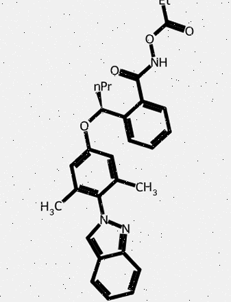 CCC[C@H](Oc1cc(C)c(-n2cc3ccccc3n2)c(C)c1)c1ccccc1C(=O)NOC(=O)CC